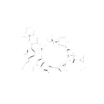 CCn1c(-c2cc(N3CCN4CCCC[C@@H]4C3)cnc2[C@H](C)OC)c2c3cc(ccc31)-c1csc(n1)C[C@H](NC(=O)[C@H]1C[C@@H]1CF)C(=O)N1CCC[C@H](N1)C(=O)OCC(C)(C)C2